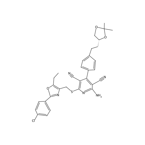 CCc1oc(-c2ccc(Cl)cc2)nc1CSc1nc(N)c(C#N)c(-c2ccc(CC[C@@H]3COC(C)(C)O3)cc2)c1C#N